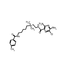 Cc1ccc(C(=O)NCCCCC[N+](C)(C)CCNC(=O)c2nc(Cl)c(N)nc2N)cc1